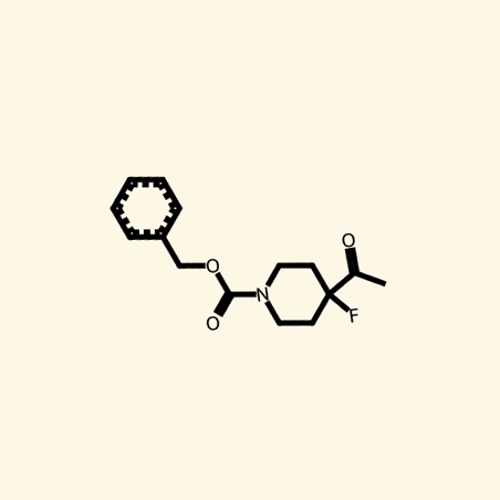 CC(=O)C1(F)CCN(C(=O)OCc2ccccc2)CC1